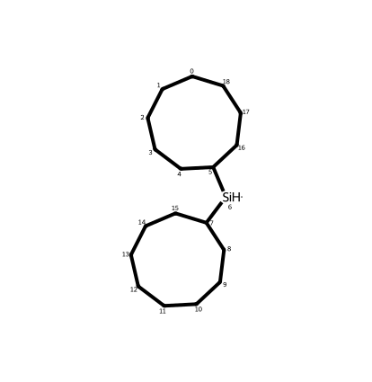 C1CCCCC([SiH]C2CCCCCCCC2)CCC1